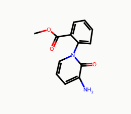 COC(=O)c1ccccc1-n1cccc(N)c1=O